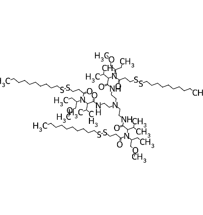 CCCCCCCCCCSSCCC(=O)N(C(CC)COC)C(C(=O)NCCN(CCNC(=O)C(C(C)C)N(C(=O)CCSSCCCCCCCCCC)C(CC)COC)CCNC(=O)C(C(C)C)N(C(=O)CCSSCCCCCCCCCC)C(CC)COC)C(C)C